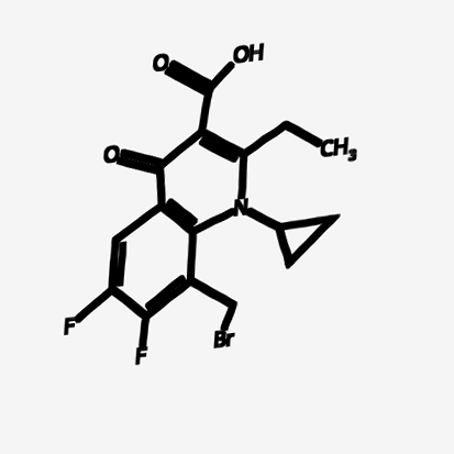 CCc1c(C(=O)O)c(=O)c2cc(F)c(F)c(CBr)c2n1C1CC1